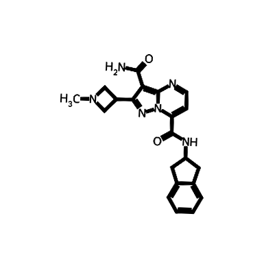 CN1CC(c2nn3c(C(=O)NC4Cc5ccccc5C4)ccnc3c2C(N)=O)C1